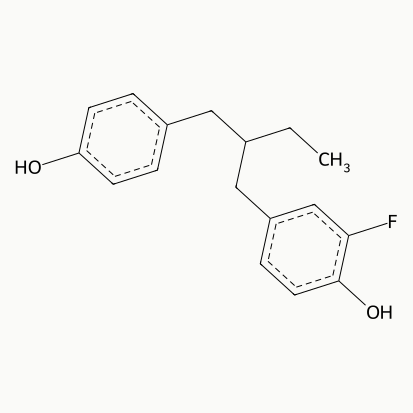 CCC(Cc1ccc(O)cc1)Cc1ccc(O)c(F)c1